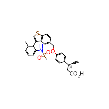 C#C[C@@H](CC(=O)O)c1ccc(OCc2ccc3scc(-c4c(C)cccc4NS(C)(=O)=O)c3c2)cc1